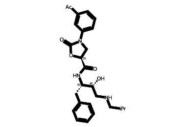 CC(=O)c1cccc(N2C[C@@H](C(=O)N[C@@H](Cc3ccccc3)[C@H](O)CNCC(C)C)OC2=O)c1